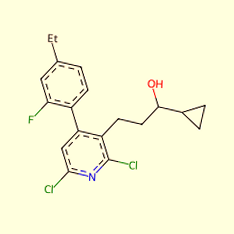 CCc1ccc(-c2cc(Cl)nc(Cl)c2CCC(O)C2CC2)c(F)c1